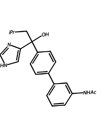 CC(=O)Nc1cccc(-c2ccc(C(O)(CC(C)C)c3c[nH]cn3)cc2)c1